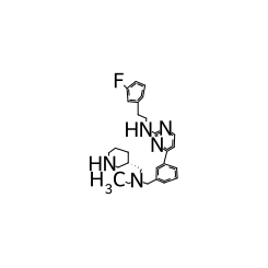 CCN(Cc1cccc(-c2ccnc(NCCc3cccc(F)c3)n2)c1)C[C@H]1CCCNC1